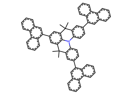 CC1(C)c2cc(-c3cc4ccccc4c4ccccc34)ccc2N2c3ccc(-c4cc5ccccc5c5ccccc45)cc3C(C)(C)c3cc(-c4cc5ccccc5c5ccccc45)cc1c32